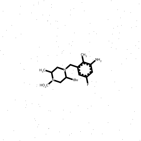 Cc1c(N)cc(F)cc1CN1CC(C)N(C(=O)O)CC1C(C)(C)C